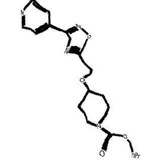 CCCOC(=O)N1CCC(OCc2nc(-c3ccncc3)no2)CC1